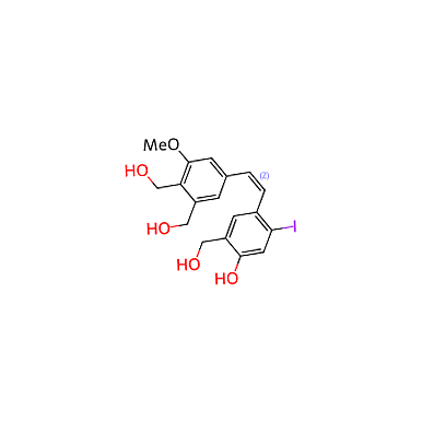 COc1cc(/C=C\c2cc(CO)c(O)cc2I)cc(CO)c1CO